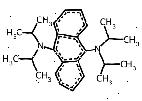 CC(C)N(c1c2ccccc2c(N(C(C)C)C(C)C)c2ccccc12)C(C)C